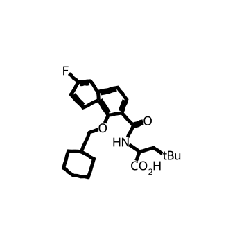 CC(C)(C)CC(NC(=O)c1ccc2cc(F)ccc2c1OCC1CCCCC1)C(=O)O